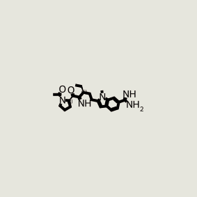 CC[C@@H](CCc1cc2ccc(C(=N)N)cc2n1C)C(=N)C(=O)[C@H]1CCCN1C(C)=O